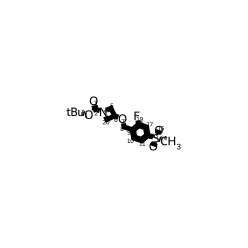 CC(C)(C)OC(=O)N1CC(OCc2ccc(S(C)(=O)=O)cc2F)C1